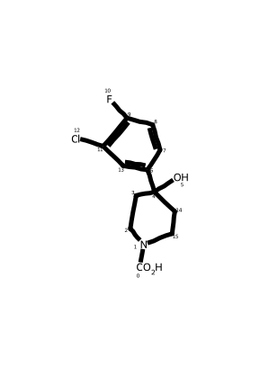 O=C(O)N1CCC(O)(c2ccc(F)c(Cl)c2)CC1